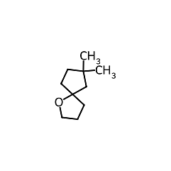 CC1(C)CCC2(CCCO2)C1